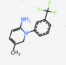 CC1=CC=C(N)N(c2cccc(C(F)(F)F)c2)C1